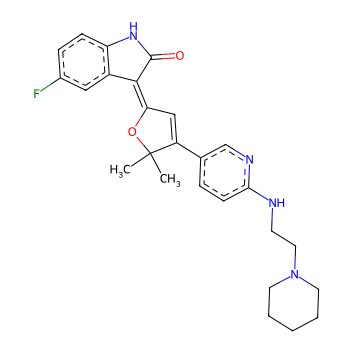 CC1(C)O/C(=C2/C(=O)Nc3ccc(F)cc32)C=C1c1ccc(NCCN2CCCCC2)nc1